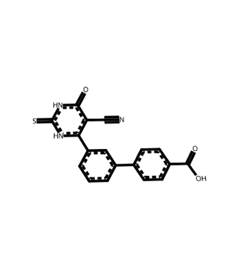 N#Cc1c(-c2cccc(-c3ccc(C(=O)O)cc3)c2)[nH]c(=S)[nH]c1=O